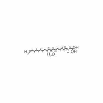 CCCCCCCCCCCCCCCCCCNCC(O)O.O